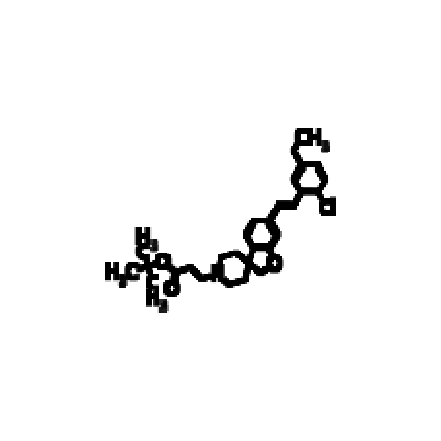 CCc1ccc(Cl)c(C=Cc2ccc3c(c2)OCC32CCN(CCC(=O)OC(C)(C)C)CC2)c1